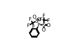 O=S(=O)(P(c1ccccc1)S(=O)(=O)C(F)(F)F)C(F)(F)F